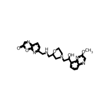 COc1cnc2cccc(C(O)CN3CCOC(CNCc4ccc5ncc(=O)oc5n4)C3)c2n1